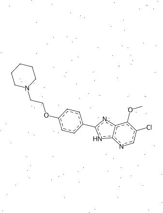 COc1c(Cl)cnc2[nH]c(-c3ccc(OCCN4CCCCC4)cc3)nc12